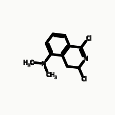 CN(C)c1cccc2c1CC(Cl)N=C2Cl